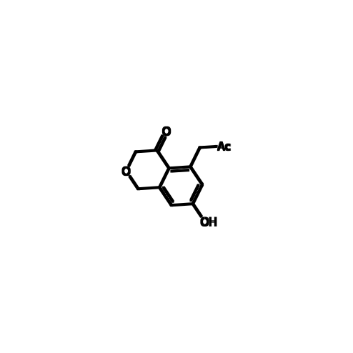 CC(=O)Cc1cc(O)cc2c1C(=O)COC2